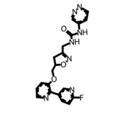 O=C(NCC1=NOC(COc2cccnc2-c2ccc(F)nc2)C1)Nc1ccnnc1